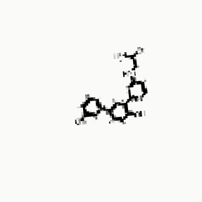 CCC(N)CNc1ccnc(-c2cc(-c3cccc(Cl)c3)ccc2O)n1